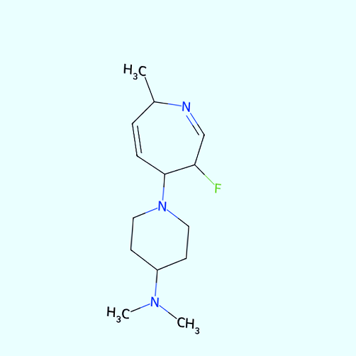 CC1C=CC(N2CCC(N(C)C)CC2)C(F)C=N1